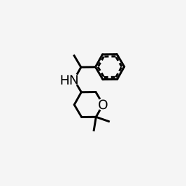 CC(NC1CCC(C)(C)OC1)c1ccccc1